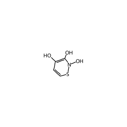 OC1=C(O)N(O)SC=C1